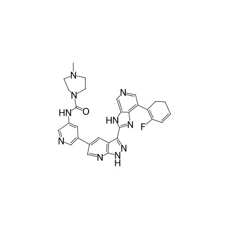 CN1CCN(C(=O)Nc2cncc(-c3cnc4[nH]nc(-c5nc6c(C7=C(F)C=CCC7)cncc6[nH]5)c4c3)c2)CC1